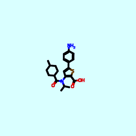 CC1CCC(C(=O)N(c2cc(-c3ccc(N)cc3)sc2C(=O)O)C(C)C)CC1